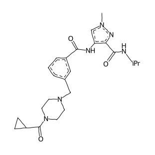 CC(C)NC(=O)c1nn(C)cc1NC(=O)c1cccc(CN2CCN(C(=O)C3CC3)CC2)c1